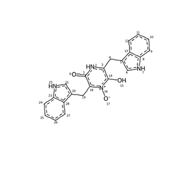 O=c1[nH]c(Cc2c[nH]c3ccccc23)c(O)[n+]([O-])c1Cc1c[nH]c2ccccc12